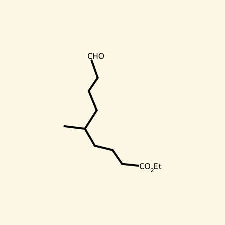 CCOC(=O)CCCC(C)CCCC=O